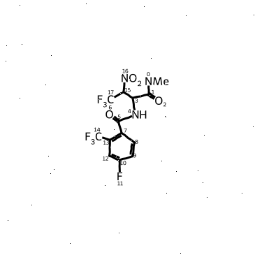 CNC(=O)C(NC(=O)c1ccc(F)cc1C(F)(F)F)C([N+](=O)[O-])C(F)(F)F